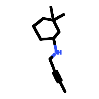 CC#CCNC1CCCC(C)(C)C1